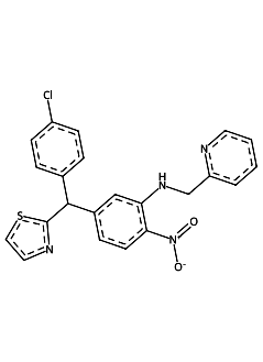 O=[N+]([O-])c1ccc(C(c2ccc(Cl)cc2)c2nccs2)cc1NCc1ccccn1